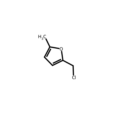 Cc1ccc(CCl)o1